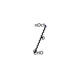 CCCCCCCC/C=C\CCCCCCCC(=O)CCCCCCCCCCOC=O